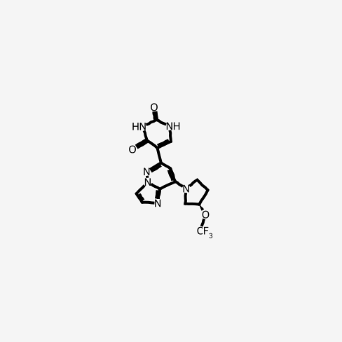 O=c1[nH]cc(-c2cc(N3CC[C@@H](OC(F)(F)F)C3)c3nccn3n2)c(=O)[nH]1